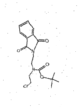 CC(C)(C)OC(=O)N(CCCl)CCN1C(=O)c2ccccc2C1=O